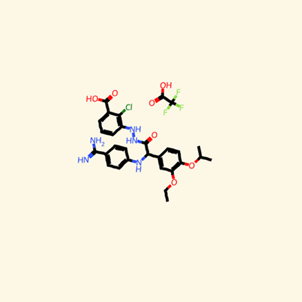 CCOc1cc(C(Nc2ccc(C(=N)N)cc2)C(=O)NNc2cccc(C(=O)O)c2Cl)ccc1OC(C)C.O=C(O)C(F)(F)F